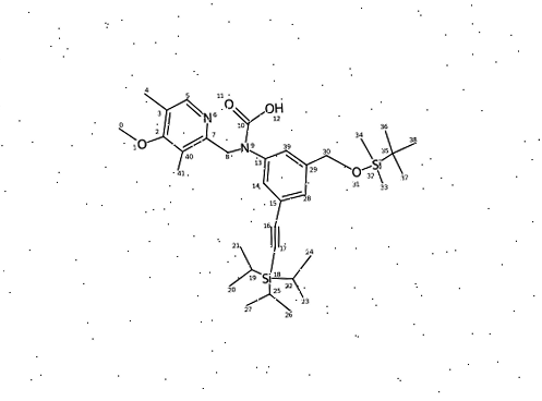 COc1c(C)cnc(CN(C(=O)O)c2cc(C#C[Si](C(C)C)(C(C)C)C(C)C)cc(CO[Si](C)(C)C(C)(C)C)c2)c1C